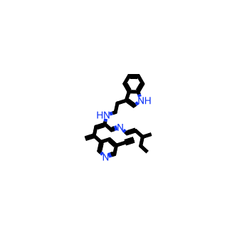 C#Cc1cncc(C(=C)\C=C(/C=N/C=C/C(C)CC)NCCc2c[nH]c3ccccc23)c1